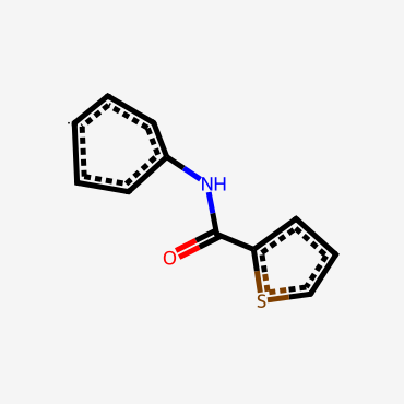 O=C(Nc1cc[c]cc1)c1cccs1